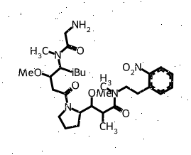 CCC(C)C(C(CC(=O)N1CCCC1C(OC)C(C)C(=O)N(C)CCc1ccccc1[N+](=O)[O-])OC)N(C)C(=O)CN